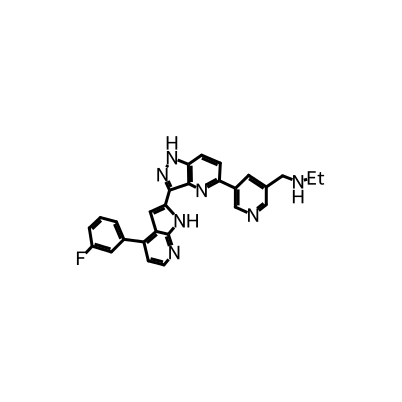 CCNCc1cncc(-c2ccc3[nH]nc(-c4cc5c(-c6cccc(F)c6)ccnc5[nH]4)c3n2)c1